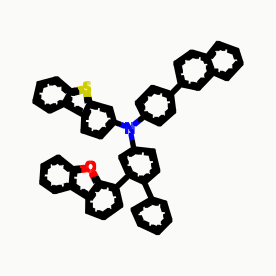 c1ccc(-c2ccc(N(c3ccc(-c4ccc5ccccc5c4)cc3)c3ccc4c(c3)sc3ccccc34)cc2-c2cccc3c2oc2ccccc23)cc1